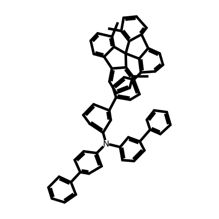 Cc1cccc2c1C1(c3c(C)cccc3-2)c2c(C)cccc2-c2cccc(-c3ccc(-c4cccc(N(c5ccc(-c6ccccc6)cc5)c5cccc(-c6ccccc6)c5)c4)cc3)c21